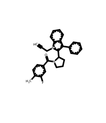 C#CCn1c(C2CCCN2C(=O)c2ccc(C)c(F)c2)c(-c2ccccc2)c2ccccc21